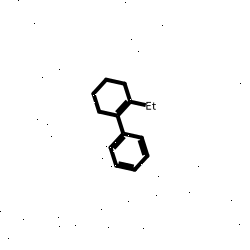 CCC1=C(c2ccccc2)CCCC1